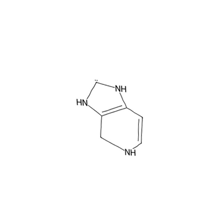 [C]1NC2=C(CNC=C2)N1